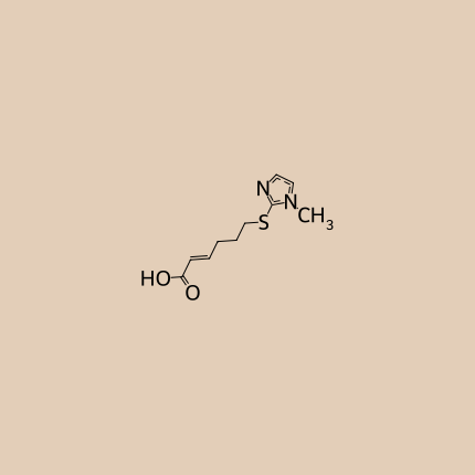 Cn1ccnc1SCCCC=CC(=O)O